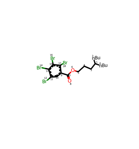 CCCCC(CCCC)CCCOC(=O)c1cc(Br)c(Br)c(Br)c1Br